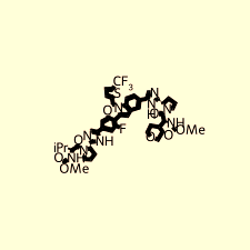 COC(=O)N[C@H](C(=O)N1CCC[C@H]1c1ncc(-c2cc(F)c3c(c2)OC(c2ccc(C(F)(F)F)s2)n2c-3cc3cc(-c4cnc([C@@H]5CCCN5C(=O)[C@@H](NC(=O)OC)C5CCOCC5)[nH]4)ccc32)[nH]1)C(C)C